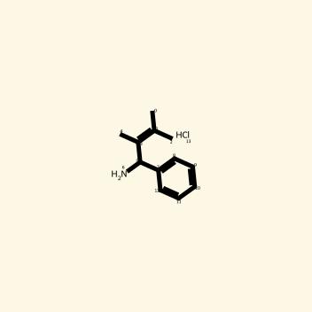 CC(C)=C(C)C(N)c1ccccc1.Cl